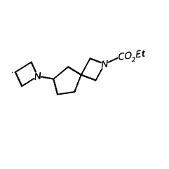 CCOC(=O)N1CC2(CCC(N3C[CH]C3)C2)C1